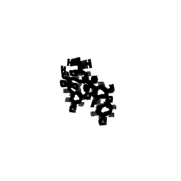 CN(CCN(CC(=O)NO)S(=O)(=O)c1cc(F)c(Oc2ccc(Cl)cc2)c(F)c1)S(=O)(=O)Cc1cc(Cl)cc(Cl)c1